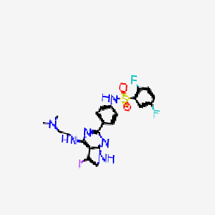 CN(C)CCNc1nc(-c2ccc(NS(=O)(=O)c3cc(F)ccc3F)cc2)nc2[nH]cc(I)c12